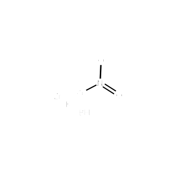 B.O=[N+]([O-])[O-].[K+].[Zn]